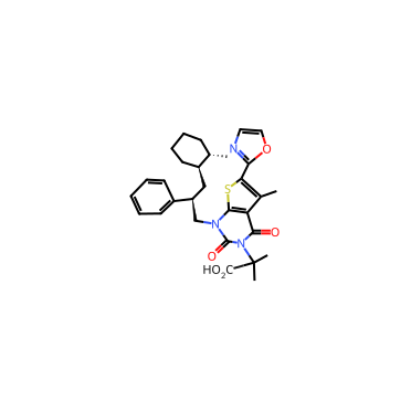 Cc1c(-c2ncco2)sc2c1c(=O)n(C(C)(C)C(=O)O)c(=O)n2C[C@H](C[C@H]1CCCC[C@@H]1C)c1ccccc1